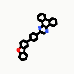 c1ccc2c(c1)oc1ccc(-c3ccc(-c4cnc5c6ccccc6c6ccccc6c5n4)cc3)cc12